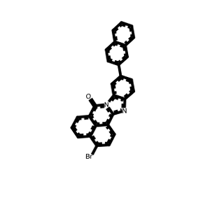 O=c1c2cccc3c(Br)ccc(c32)c2nc3ccc(-c4ccc5ccccc5c4)cc3n12